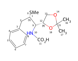 CS[C@@H](Cc1ccccc1)C(NC(=O)O)[C@@H]1COC(C)(C)O1